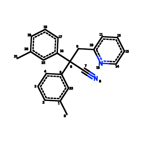 Cc1cccc(C(C#N)(Cc2ccccn2)c2cccc(C)c2)c1